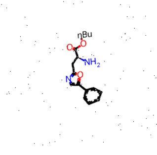 CCCCOC(=O)[C@@H](N)Cc1ncc(-c2ccccc2)o1